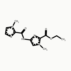 CCOC(=O)c1nc(NC(=O)c2nccn2C)cn1C